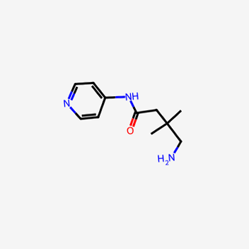 CC(C)(CN)CC(=O)Nc1ccncc1